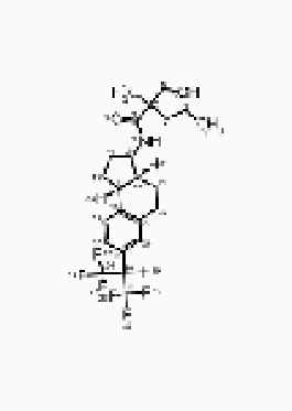 CCCC(C)(CO)C(=O)N[C@@H]1CC[C@H]2c3ccc(C(F)(C(F)(F)F)C(F)(F)F)cc3CC[C@@H]12